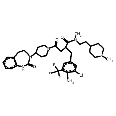 CN1CCC(CCN(C)C(=O)C(CC(=O)N2CCC(N3CCc4ccccc4NC3=O)CC2)Cc2cc(Cl)c(N)c(C(F)(F)F)c2)CC1